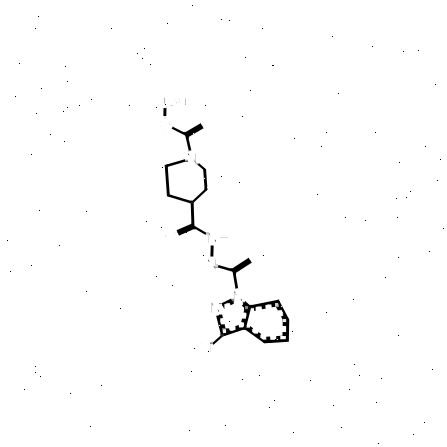 CC(C)(C)OC(=O)N1CCC(C(=O)NNC(=O)n2nc(Cl)c3ccccc32)CC1